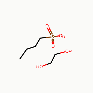 CCCCS(=O)(=O)O.OCCO